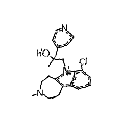 CN1CCc2c(n(CC(C)(O)c3ccncc3)c3c(Cl)cccc23)CC1